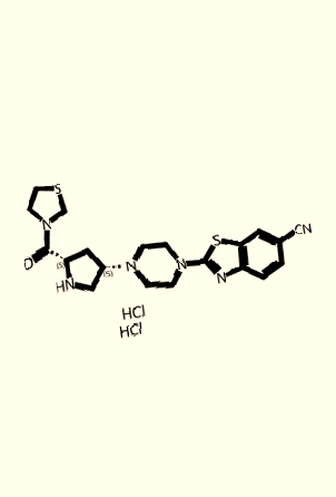 Cl.Cl.N#Cc1ccc2nc(N3CCN([C@@H]4CN[C@H](C(=O)N5CCSC5)C4)CC3)sc2c1